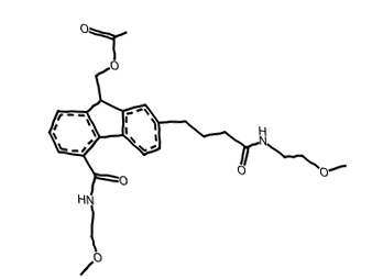 COCCNC(=O)CCCc1ccc2c(c1)C(COC(C)=O)c1cccc(C(=O)NCCOC)c1-2